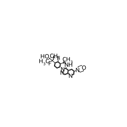 C[C@@H](Nc1nncc2ncc(N3CCOCC3)cc12)c1cccc(C(F)(F)C(C)(C)O)c1F